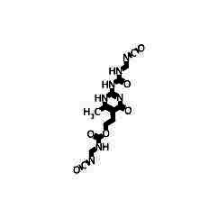 Cc1[nH]c(NC(=O)NCN=C=O)nc(=O)c1CCOC(=O)NCN=C=O